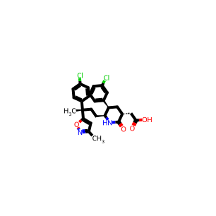 Cc1cc([C@@](C)(CC[C@@H]2NC(=O)[C@@H](CC(=O)O)C[C@@H]2c2cccc(Cl)c2)c2ccc(Cl)cc2)on1